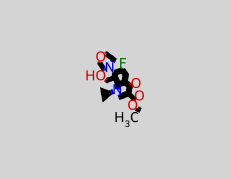 CCOC(=O)c1cn(C2CC2)c2c(CO)c(N3CCOCC3)c(F)cc2c1=O